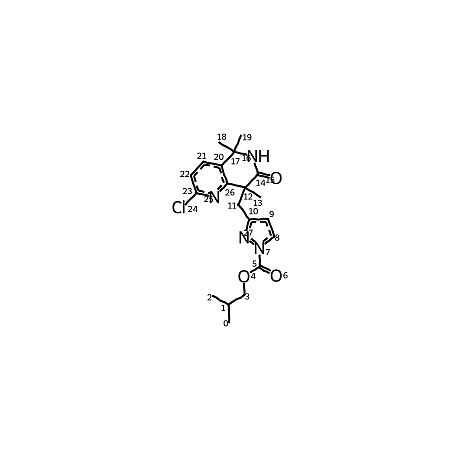 CC(C)COC(=O)n1ccc(CC2(C)C(=O)NC(C)(C)c3ccc(Cl)nc32)n1